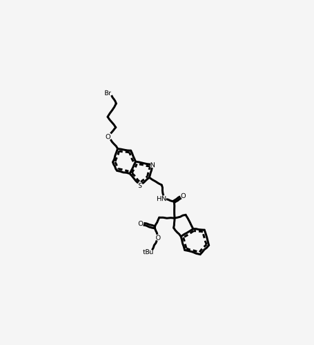 CC(C)(C)OC(=O)CC1(C(=O)NCc2nc3cc(OCCCBr)ccc3s2)Cc2ccccc2C1